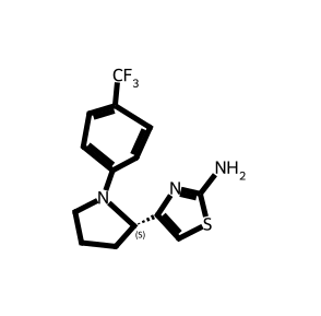 Nc1nc([C@@H]2CCCN2c2ccc(C(F)(F)F)cc2)cs1